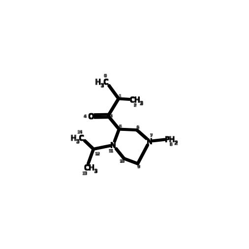 CC(C)C(=O)C1CN(P)CCN1C(C)C